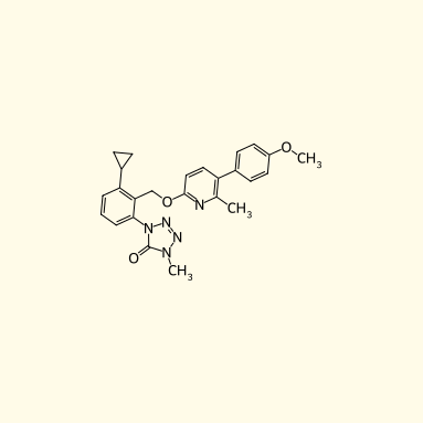 COc1ccc(-c2ccc(OCc3c(C4CC4)cccc3-n3nnn(C)c3=O)nc2C)cc1